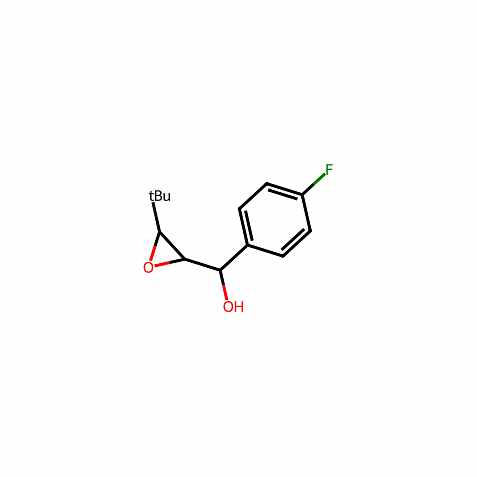 CC(C)(C)C1OC1C(O)c1ccc(F)cc1